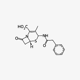 CC1=C(C(=O)O)N2C(=O)C[C@H]2SC1NC(=O)Cc1ccccc1